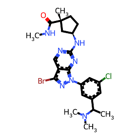 CNC(=O)[C@]1(C)CC[C@@H](Nc2ncc3c(Br)nn(-c4cc(Cl)cc(C(C)N(C)C)c4)c3n2)C1